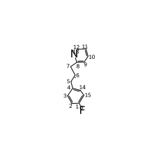 Fc1ccc(C[CH]Cc2ccccn2)cc1